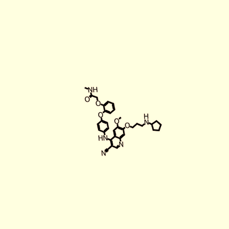 CNC(=O)COc1ccccc1Oc1ccc(Nc2c(C#N)cnc3cc(OCCCNC4CCCC4)c(OC)cc23)cc1